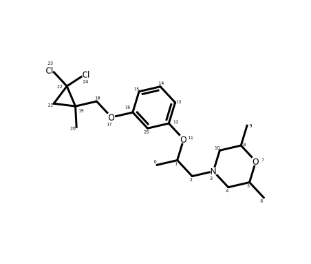 CC(CN1CC(C)OC(C)C1)Oc1cccc(OCC2(C)CC2(Cl)Cl)c1